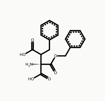 N[C@@](C(=O)O)(C(=O)OCc1ccccc1)C(Cc1ccccc1)C(=O)O